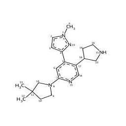 Cn1ccc(-c2cc(N3CCC(C)(C)C3)ncc2C2CCNC2)n1